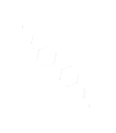 CCC=CC1CCC(C2CCC(COCC)CC2)CC1